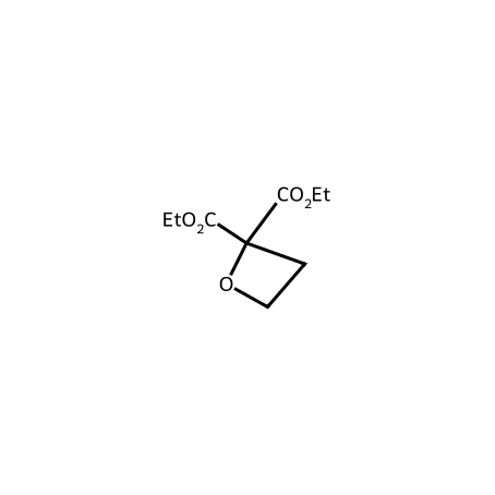 CCOC(=O)C1(C(=O)OCC)CCO1